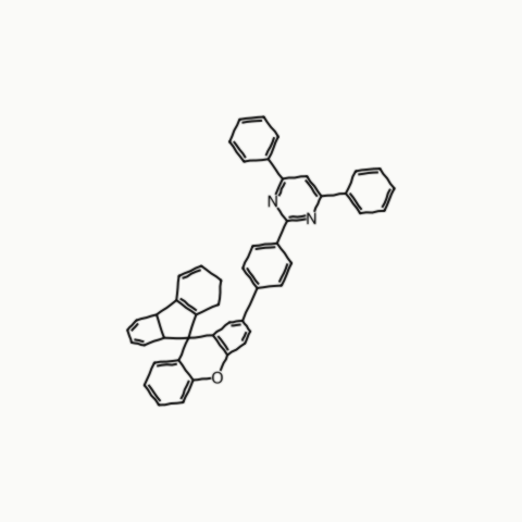 C1=CC2C3=C(CCC=C3)C3(c4ccccc4Oc4ccc(-c5ccc(-c6nc(-c7ccccc7)cc(-c7ccccc7)n6)cc5)cc43)C2C=C1